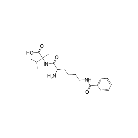 CC(C)C(C)(NC(=O)C(N)CCCCNC(=O)c1ccccc1)C(=O)O